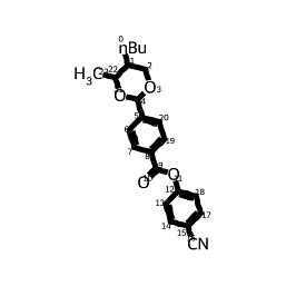 CCCCC1COC(c2ccc(C(=O)Oc3ccc(C#N)cc3)cc2)OC1C